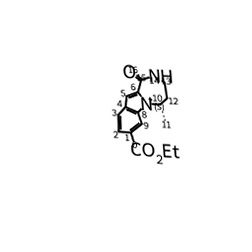 CCOC(=O)c1ccc2cc3n(c2c1)[C@@H](C)CCNC3=O